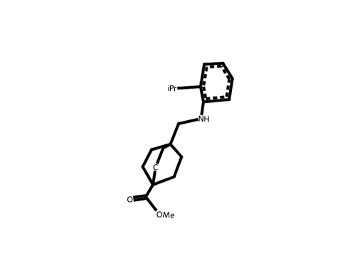 COC(=O)C12CCC(CNc3ccccc3C(C)C)(CC1)CC2